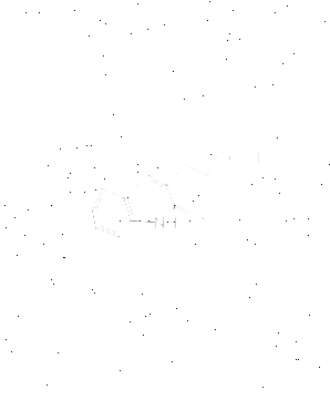 O=C(O)CCc1cc2ccc(F)cc2[nH]c1=O